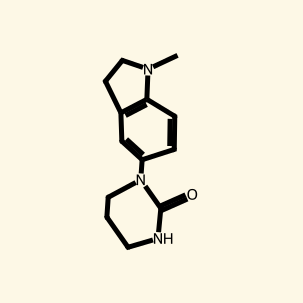 CN1CCc2cc(N3CCCNC3=O)ccc21